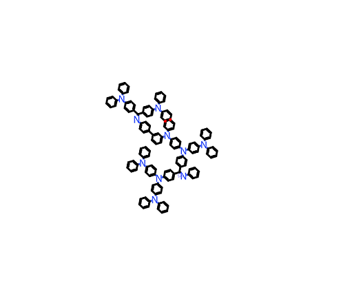 c1ccc(/N=C(/c2ccc(N(c3ccc(N(c4ccccc4)c4ccccc4)cc3)c3ccc(N(c4ccccc4)c4ccccc4)cc3)cc2)c2ccc(N(c3ccc(N(c4ccccc4)c4ccccc4)cc3)c3ccc(N(c4ccccc4)c4cccc(-c5ccc(N=C(c6ccc(N(c7ccccc7)c7ccccc7)cc6)c6ccc(N(c7ccccc7)c7ccccc7)cc6)cc5)c4)cc3)cc2)cc1